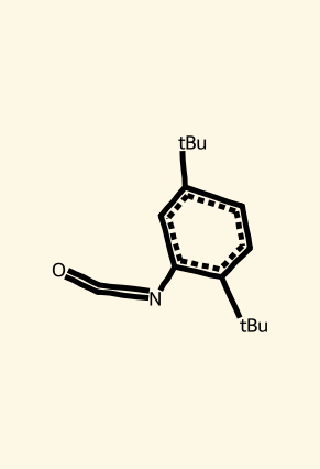 CC(C)(C)c1ccc(C(C)(C)C)c(N=C=O)c1